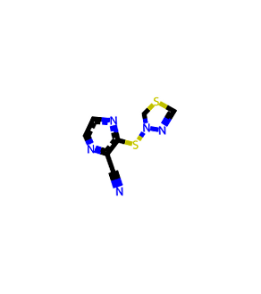 N#Cc1nccnc1SN1CSC=N1